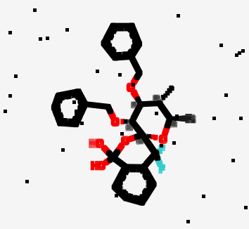 CC[C@H]1O[C@]2(OC(O)(O)c3ccccc3C2(F)F)[C@H](OCc2ccccc2)[C@@H](OCc2ccccc2)[C@@H]1C